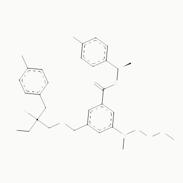 COOSN(C)c1cc(COCC(N)(CO)Cc2ccc(C)cc2)cc(C(=O)N[C@H](C)c2ccc(F)cc2)c1